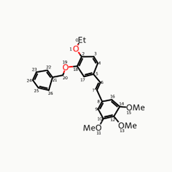 CCOc1ccc(C=Cc2cc(OC)c(OC)c(OC)c2)cc1OCc1ccccc1